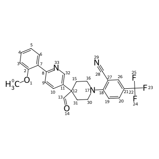 COc1ccccc1-c1ccc(C2(C=O)CCN(c3ccc(C(F)(F)F)cc3C#N)CC2)cn1